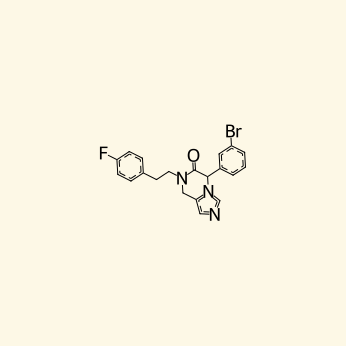 O=C1C(c2cccc(Br)c2)n2cncc2CN1CCc1ccc(F)cc1